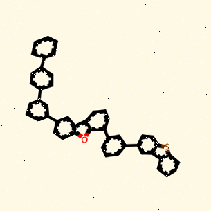 c1ccc(-c2ccc(-c3cccc(-c4ccc5oc6c(-c7cccc(-c8ccc9sc%10ccccc%10c9c8)c7)cccc6c5c4)c3)cc2)cc1